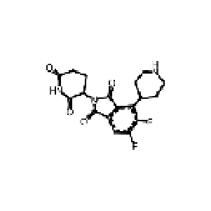 O=C1CCC(N2C(=O)c3cc(F)c(F)c(C4CCNCC4)c3C2=O)C(=O)N1